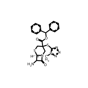 Cn1nnnc1SC1(C(=O)OC(c2ccccc2)c2ccccc2)CS[C@@H]2C(N)C(=O)N2C1